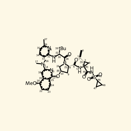 C=C[C@@H]1C[C@]1(NC(=O)[C@@H]1C[C@@H](Oc2nc(N(C)C)cc3c(OC)cccc23)CN1C(=O)[C@@H](Nc1cccc(C)n1)C(C)(C)C)C(=O)NS(=O)(=O)C1CC1